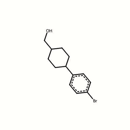 OCC1CCC(c2ccc(Br)cc2)CC1